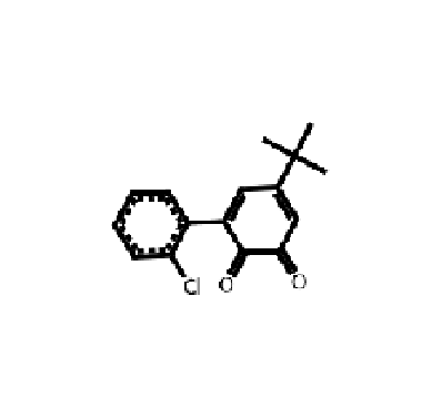 CC(C)(C)C1=CC(=O)C(=O)C(c2ccccc2Cl)=C1